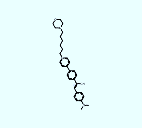 CN(C)c1ccc(/C=C(\C#N)c2ccc(-c3cc[n+](CCCCCCN4CCOCC4)cc3)cc2)cc1